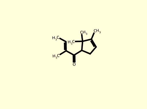 CC=C(C)C(=O)C1CC=C(C)C1(C)C